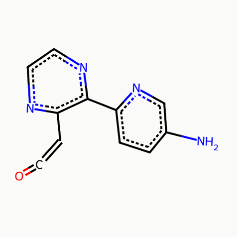 Nc1ccc(-c2nccnc2C=C=O)nc1